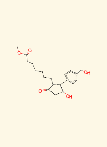 COC(=O)CCCCCCC1C(=O)CC(O)C1c1ccc(CO)cc1